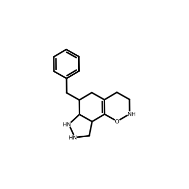 c1ccc(CC2CC3=C(ONCC3)C3CNNC23)cc1